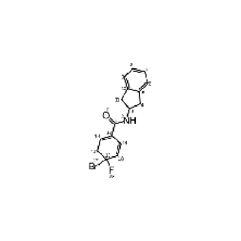 O=C(NC1Cc2ccccc2C1)C1=CCC(F)(Br)C=C1